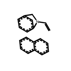 C=CN1Cc2cccc1c2.c1ccc2ccccc2c1